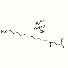 CCCCCCCCCCCCNCCC(=O)[O-].O=S(=O)(O)O.[Na+]